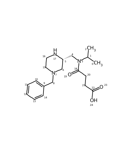 CC(C)N(C[C@@H]1CN(Cc2ccccc2)CCN1)C(=O)CCC(=O)O